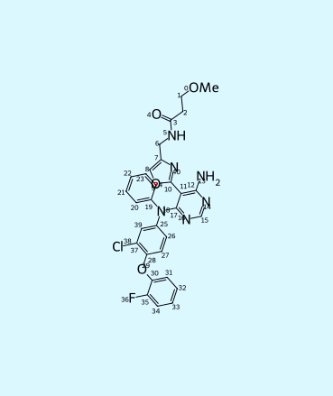 COCCC(=O)NCc1coc(-c2c(N)ncnc2N(c2ccccc2)c2ccc(Oc3ccccc3F)c(Cl)c2)n1